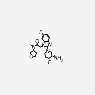 CN(C(=O)Cn1c(N2CC[C@@H](F)[C@H](N)C2)nc2ccc(F)cc21)C1CCOC1